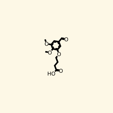 COc1cc(C=O)cc(OCCCC(=O)O)c1OC